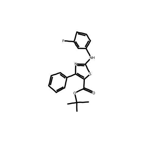 CC(C)(C)OC(=O)c1sc(Nc2cccc(F)c2)nc1-c1ccccc1